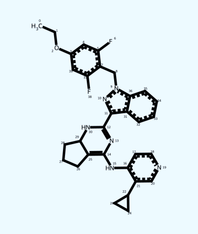 CCOc1cc(F)c(Cn2nc(C3=NC(Nc4ccncc4C4CC4)=C4CCCC4N3)c3ccccc32)c(F)c1